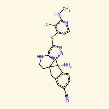 CNc1nccc(Sc2cnc([C@@]3(N)c4ccc(C#N)cc4CC34CCNCC4)nn2)c1Cl